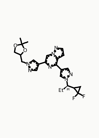 CC[C@H](C1CC1(F)F)n1cc(-c2nc(-c3cnn(CC4COC(C)(C)O4)c3)cn3nccc23)cn1